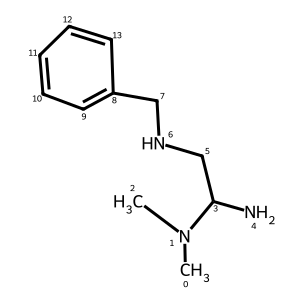 CN(C)C(N)CNCc1ccccc1